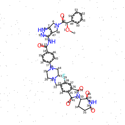 CO[C@@H](C(=O)N1Cc2[nH]nc(NC(=O)c3ccc(N4CCN(Cc5cc6c(cc5F)C(=O)N(C5CCC(=O)NC5=O)C6=O)CC4)cc3)c2C1)c1ccccc1